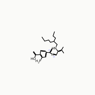 C=C(O)c1ccc(C(=C/C)/N=C\C(NCC(CCC)CCCC)=C(C)C)cc1P